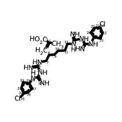 C=C(C)C(=O)O.N=C(NCCCCCCNC(=N)NC(=N)Nc1ccc(Cl)cc1)NC(=N)Nc1ccc(Cl)cc1